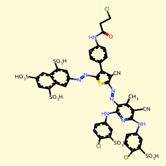 Cc1c(C#N)c(Nc2ccc(Cl)c(S(=O)(=O)O)c2)nc(Nc2ccc(Cl)c(S(=O)(=O)O)c2)c1N=Nc1sc(/N=N/c2cc(S(=O)(=O)O)c3cc(S(=O)(=O)O)cc(S(=O)(=O)O)c3c2)c(-c2ccc(NC(=O)CCCl)cc2)c1C#N